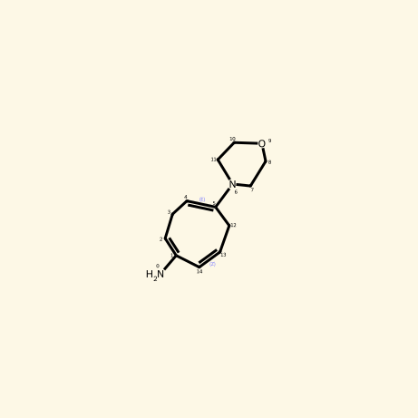 NC1=CC/C=C(/N2CCOCC2)C/C=C\1